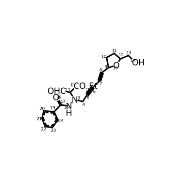 CCOC(=O)C(C=O)N(CC#CC#CC1CCC(CO)O1)NC(=O)c1ccccc1